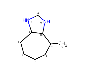 CC1CCCCC2NCNC12